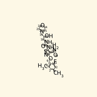 Cc1cc(C)c(COc2nsc(NC(=O)NCC(O)CN3CCOCC3)c2C(N)=O)c(F)c1